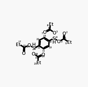 CCC(=O)O[SiH](OC(=O)CC)c1ccc([SiH](OC(=O)CC)OC(=O)CC)cc1